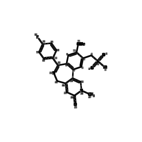 CCS(=O)(=O)Cc1cc2c(cc1OC)C(c1ccc(F)cc1)=NCc1cc(=O)n(C)cc1-2